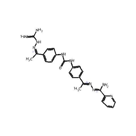 C/C(=N/NC(=N)N)c1ccc(NC(=O)Nc2ccc(/C(C)=N/N=C(\N)c3ccccn3)cc2)cc1